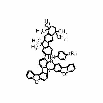 CC(C)(C)c1ccc(Nc2cc3c(cc2-c2ccc4c5c6c(ccc5n5c4c2Bc2cc4c(cc2-5)oc2ccccc24)oc2ccccc26)C(C)(C)c2cc4c(cc2-3)C(C)(C)CCC4(C)C)cc1